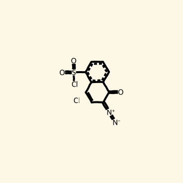 [C].[N-]=[N+]=C1C=Cc2c(cccc2S(=O)(=O)Cl)C1=O